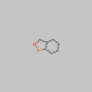 c1ccc2pocc2c1